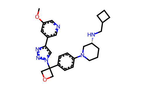 COc1cncc(-c2cn(C3(c4ccc(N5CCC[C@@H](NCC6CCC6)C5)cc4)COC3)nn2)c1